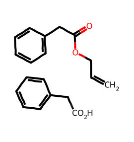 C=CCOC(=O)Cc1ccccc1.O=C(O)Cc1ccccc1